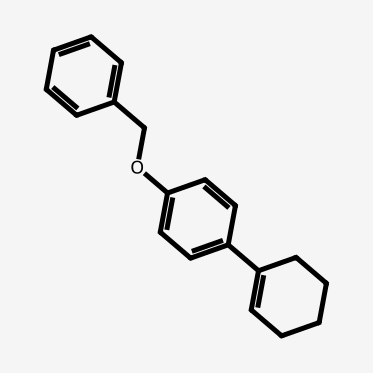 C1=C(c2ccc(OCc3ccccc3)cc2)CCCC1